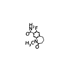 CN1C(=O)CCCc2cc(F)c(C(N)=O)cc21